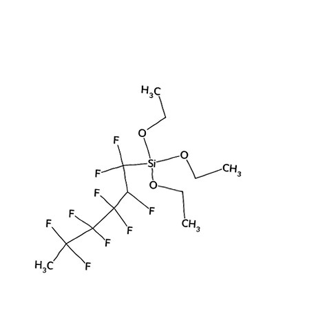 CCO[Si](OCC)(OCC)C(F)(F)C(F)C(F)(F)C(F)(F)C(C)(F)F